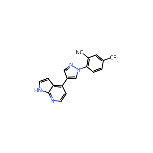 N#Cc1cc(C(F)(F)F)ccc1-n1cc(-c2ccnc3[nH]ccc23)cn1